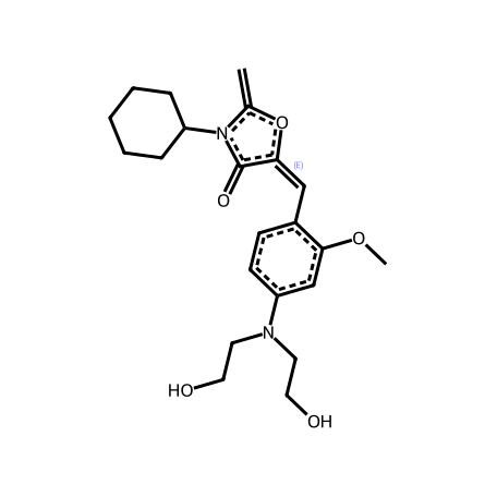 C=c1o/c(=C/c2ccc(N(CCO)CCO)cc2OC)c(=O)n1C1CCCCC1